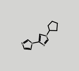 c1cn(-c2cn(C3CCCC3)cn2)cn1